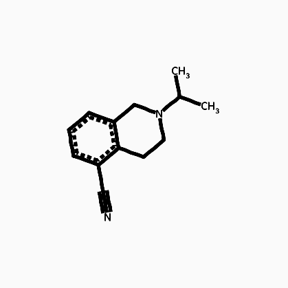 CC(C)N1CCc2c(C#N)cccc2C1